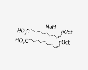 CCCCCCCC/C=C\CCCCCCCC(=O)O.CCCCCCCC/C=C\CCCCCCCC(=O)O.[NaH]